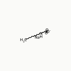 CCCCCCCCCCCCNCCCS(=O)(=O)[O-].[Na+]